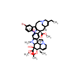 CCC1=C[C@@H]2CN(CCc3c([nH]c4ccc(Br)cc34)[C@@](C(=O)OC)(c3cc4c(cc3OC)N(C)C3C(O)(C(=O)OC)[C@H](OC(C)=O)[C@]5(CC)C=CCN6CC[C@]43[C@@H]65)C2)C1